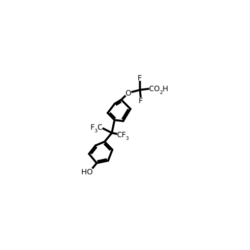 O=C(O)C(F)(F)Oc1ccc(C(c2ccc(O)cc2)(C(F)(F)F)C(F)(F)F)cc1